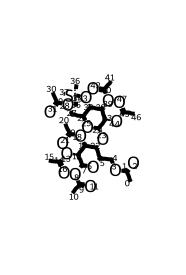 CC(=O)OCC1OC(OC(C)=O)[C@@H](OC(C)=O)C(OC(C)=O)[C@@H]1O[C@@H]1OC(COC(C)=O)[C@H](O[Si](C)(C)C)C(OC(C)=O)[C@@H]1OC(C)=O